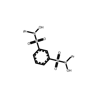 CC(C)N(O)S(=O)(=O)c1cccc(S(=O)(=O)N(O)C(C)C)c1